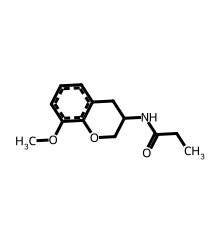 CCC(=O)NC1COc2c(cccc2OC)C1